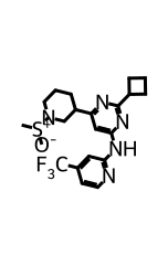 C[S+]([O-])N1CCCC(c2cc(Nc3cc(C(F)(F)F)ccn3)nc(C3CCC3)n2)C1